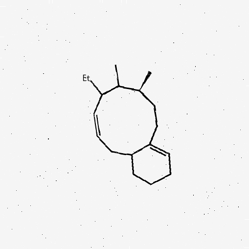 CCC1/C=C\CC2CCCC=C2CC[C@H](C)C1C